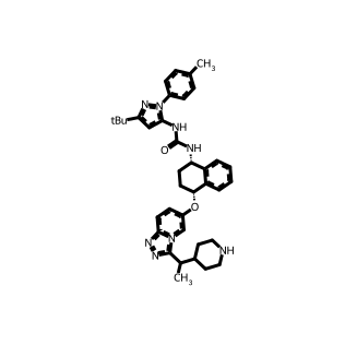 Cc1ccc(-n2nc(C(C)(C)C)cc2NC(=O)N[C@H]2CC[C@@H](Oc3ccc4nnc(C(C)C5CCNCC5)n4c3)c3ccccc32)cc1